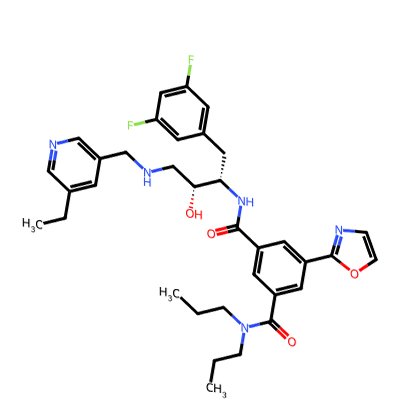 CCCN(CCC)C(=O)c1cc(C(=O)N[C@@H](Cc2cc(F)cc(F)c2)[C@H](O)CNCc2cncc(CC)c2)cc(-c2ncco2)c1